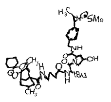 CSON1C(C)=C1c1ccc(CNC(=O)C2CC(O)CN2C(=O)C(NC(=O)CCCNC(=O)C23CC(C)CC(C2)C2(OOC4(CCCCC4)O2)C(C)C3)C(C)(C)C)cc1